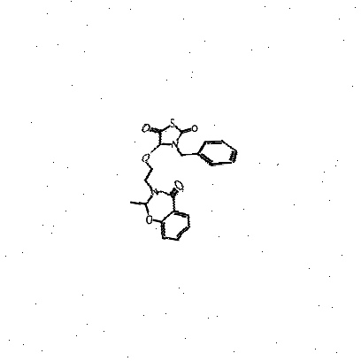 CC1Oc2ccccc2C(=O)N1CCOC1C(=O)SC(=O)N1Cc1ccccc1